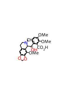 COc1ccc([C@H](O)C2c3c(cc4c(c3OC)OCO4)CCN2C)c(C(=O)O)c1OC